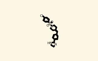 O=S(=O)(c1ccc(Cl)cc1)N1CCC(=Cc2ccc(C3=NCCN3)cc2)CC1